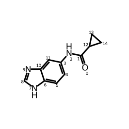 O=C(Nc1ccc2[nH]cnc2c1)C1CC1